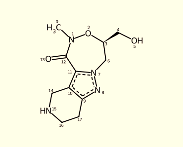 CN1O[C@@H](CO)Cn2nc3c(c2C1=O)CNCC3